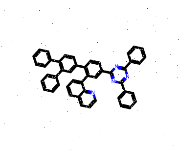 c1ccc(-c2nc(-c3ccccc3)nc(-c3ccc(-c4ccc(-c5ccccc5)c(-c5ccccc5)c4)c(-c4cccc5cccnc45)c3)n2)cc1